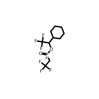 O=[PH](CC(F)(F)F)OC(C1CCCCC1)C(F)(F)F